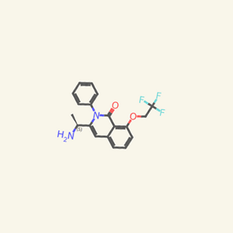 C[C@H](N)c1cc2cccc(OCC(F)(F)F)c2c(=O)n1-c1ccccc1